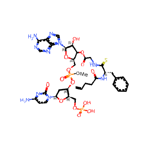 C=CCCC(=O)N[C@@H](Cc1ccccc1)C(=S)NCC(=O)OC1[C@@H](COP(=O)(OC)O[C@@H]2C[C@H](n3ccc(N)nc3=O)O[C@@H]2COP(=O)(O)O)O[C@@H](n2cnc3c(N)ncnc32)[C@H]1O